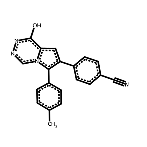 Cc1ccc(-c2c(-c3ccc(C#N)cc3)cc3c(O)nncn23)cc1